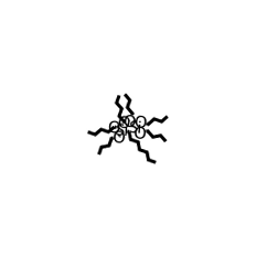 CCCCCCC([Si](OCCCC)(OCCCC)OCCCC)[Si](OCCCC)(OCCCC)OCCCC